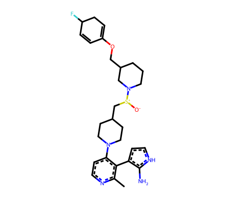 Cc1nccc(N2CCC(C[S+]([O-])N3CCCC(COC4=CCC(F)C=C4)C3)CC2)c1-c1cc[nH]c1N